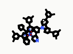 Cc1cc(C)cc(-c2ccc3c(c2)c2cc(-c4cc(C)cc(C)c4)ccc2n3-c2ccc(-c3nc(-c4ccccc4)nc(-c4ccccc4)n3)c(-c3cnccc3-n3c4ccc(-c5cc(C)cc(C)c5)cc4c4cc(-c5cc(C)cc(C)c5)ccc43)c2)c1